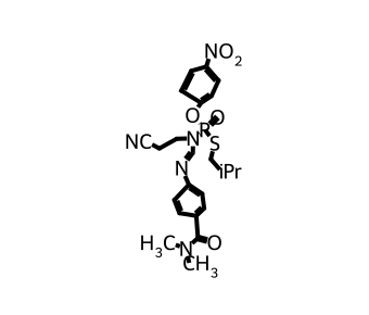 CC(C)CSP(=O)(Oc1ccc([N+](=O)[O-])cc1)N(C=Nc1ccc(C(=O)N(C)C)cc1)CCC#N